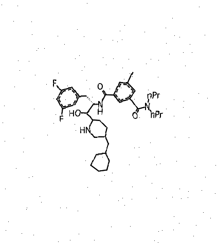 CCCN(CCC)C(=O)c1cc(C)cc(C(=O)N[C@@H](Cc2cc(F)cc(F)c2)C(O)C2CCC(CC3CCCCC3)CN2)c1